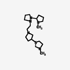 CN1CCN(C2CCN(CCN3CCCN3C3CCCN3C)C2)C1